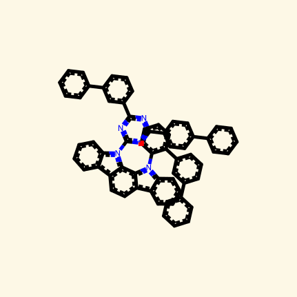 c1ccc(-c2ccc(-c3nc(-c4cccc(-c5ccccc5)c4)nc(-n4c5ccccc5c5ccc6c7ccccc7n(-c7ccccc7-c7cccc(-c8ccccc8)c7)c6c54)n3)cc2)cc1